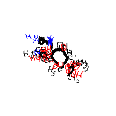 CC[C@H]1OC(=O)C[C@@H](O)[C@H](C)[C@@H](O[C@@H]2O[C@H](C)[C@@H](O)C(N(C)C)C2O)[C@@H](CCn2cc(-c3ccc(N)cc3)nn2)C[C@@H](C)C(=O)/C=C/C(C)=C/[C@@H]1CO[C@@H]1OC(C)[C@@H](O)[C@H](OC)C1OC